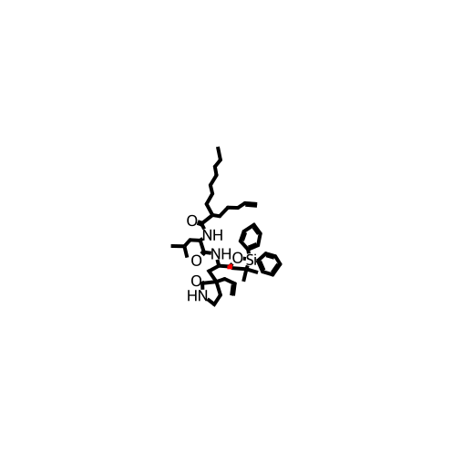 C=CCCCC(CCCCCCC)C(=O)NC(CC(C)C)C(=O)NC(CO[Si](c1ccccc1)(c1ccccc1)C(C)(C)C)CC1(CC=C)CCNC1=O